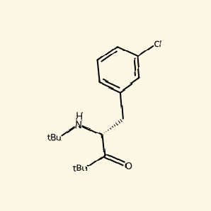 CC(C)(C)N[C@H](Cc1cccc(Cl)c1)C(=O)C(C)(C)C